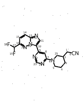 N#CCC1CCCN(c2cc(-c3cnc4ccc(C(F)F)nn34)ncn2)C1